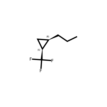 CCC[C@@H]1C[C@@H]1C(F)(F)F